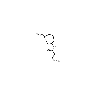 O=C(O)CCC(=O)NC1CCCC(C(=O)O)CC1